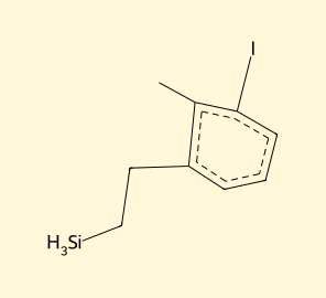 Cc1c(I)cccc1CC[SiH3]